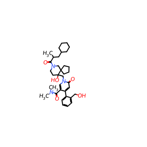 CC(CC1CCCCC1)C(=O)N1CCC(O)(Cn2cc(C(=O)N(C)C)c(-c3ccccc3CO)cc2=O)C2(CCCC2)C1